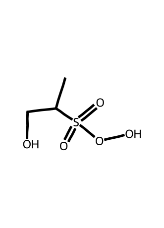 CC(CO)S(=O)(=O)OO